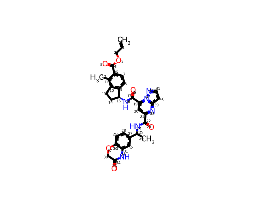 C=CCOC(=O)c1ccc2c(c1C)CC[C@@H]2NC(=O)c1cc(C(=O)NC(C)c2ccc3c(c2)NC(=O)CO3)nc2ccnn12